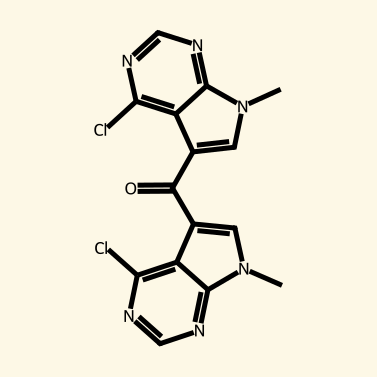 Cn1cc(C(=O)c2cn(C)c3ncnc(Cl)c23)c2c(Cl)ncnc21